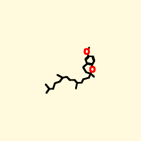 COc1ccc2c(c1)CCC(C)(CCCC(C)CCCC(C)CCCC(C)C)O2